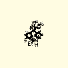 CCC(=O)Nc1cc(-c2c(-c3ccc(F)cc3)nn(C)c2OC(F)F)ccn1